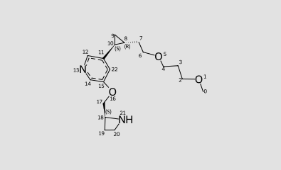 COCCCOCC[C@H]1C[C@@H]1c1cncc(OC[C@@H]2CCN2)c1